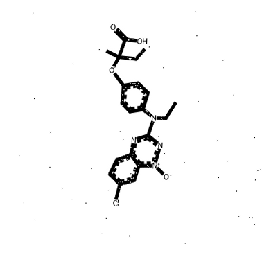 CCN(c1ccc(OC(C)(CC)C(=O)O)cc1)c1nc2ccc(Cl)cc2[n+]([O-])n1